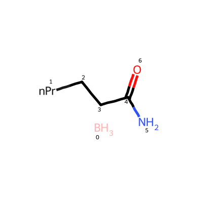 B.CCCCCC(N)=O